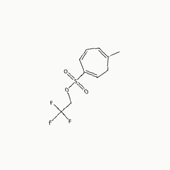 CC1=CC=CC(S(=O)(=O)OCC(F)(F)F)=CC1